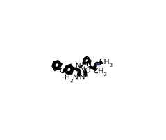 C/C=C/C(C)C(=O)N1CCC[C@H]1c1nc(-c2ccc(Oc3ccccc3)cc2)c2c(N)nccn12